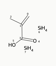 C=C(C)C(=O)O.[SiH4].[SiH4]